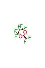 FC(F)=C1OC(F)(F)C(F)(F)C(F)(F)O1